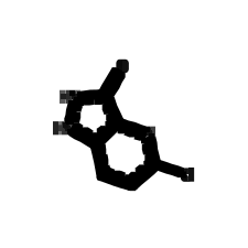 O=c1[nH][nH]c2ccc(Cl)nc12